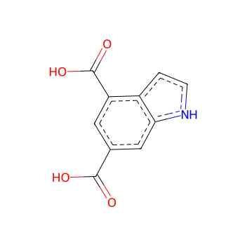 O=C(O)c1cc(C(=O)O)c2cc[nH]c2c1